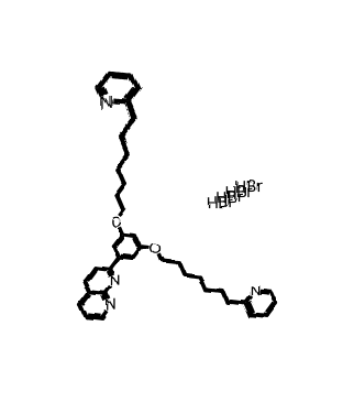 Br.Br.Br.Br.c1ccc(CCCCCCCOc2cc(OCCCCCCCc3ccccn3)cc(-c3ccc4cccnc4n3)c2)nc1